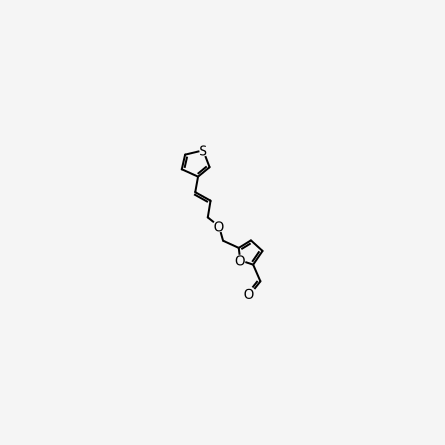 O=Cc1ccc(COCC=Cc2ccsc2)o1